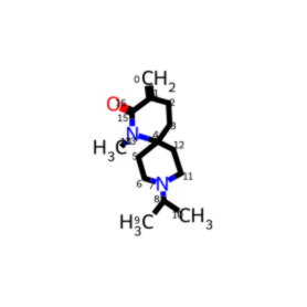 C=C1CCC2(CCN(C(C)C)CC2)N(C)C1=O